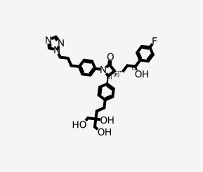 O=C1[C@H](CC[C@H](O)c2ccc(F)cc2)[C@@H](c2ccc(CCC(O)(CO)CO)cc2)N1c1ccc(CCCn2cncn2)cc1